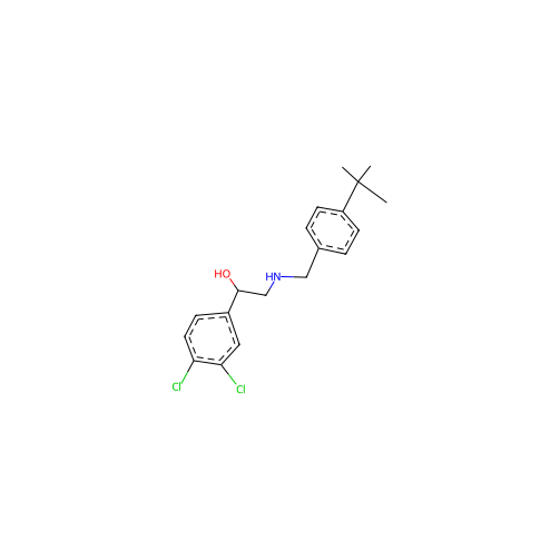 CC(C)(C)c1ccc(CNCC(O)c2ccc(Cl)c(Cl)c2)cc1